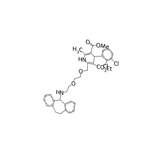 CCOC(=O)C1=C(COCCOCCNC2c3ccccc3CCc3ccccc32)NC(C)=C(C(=O)OC)C1c1cccc(Cl)c1Cl